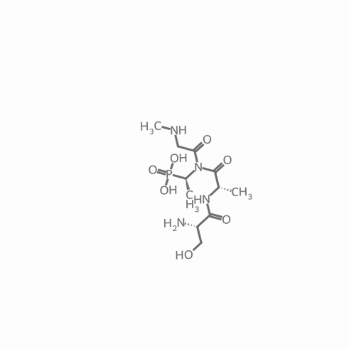 CNCC(=O)N(C(=O)[C@H](C)NC(=O)[C@@H](N)CO)[C@@H](C)P(=O)(O)O